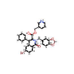 O=C(OCc1cccnc1)c1c(-c2ccccc2)c2cc(Br)ccc2c(=O)n1Cc1ccc2c(c1)OCO2